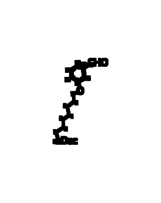 CCCCCCCCCCCCCCCCCOc1cccc(C=O)c1